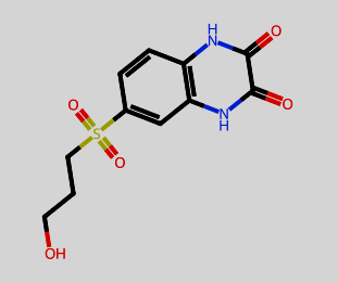 O=c1[nH]c2ccc(S(=O)(=O)CCCO)cc2[nH]c1=O